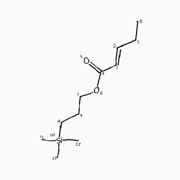 CCC=CC(=O)OCCC[Si](C)(C)C